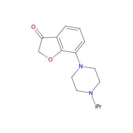 CC(C)N1CCN(c2cccc3c2OCC3=O)CC1